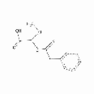 COC(NC(=S)Cc1ccccc1)C(=O)O